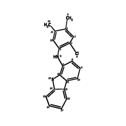 Cc1cc(Cl)c(Nc2cccc3c2sc2ccccc23)cc1C